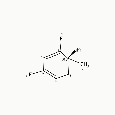 CC(C)[C@@]1(C)CC=C(F)C=C1F